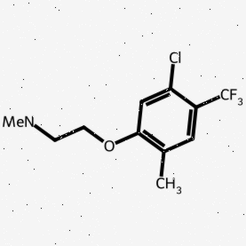 CNCCOc1cc(Cl)c(C(F)(F)F)cc1C